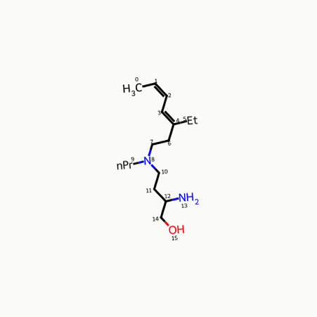 C/C=C\C=C(/CC)CCN(CCC)CCC(N)CO